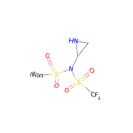 CCCCCCCCCS(=O)(=O)N(C1CN1)S(=O)(=O)C(F)(F)F